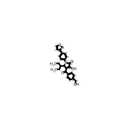 CCC(CC)C1C(C(=O)c2ccc(CO)cc2)=C(O)C(=O)N1c1ccc(-c2ccon2)cc1